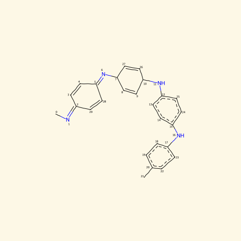 CN=C1C=CC(=NC2C=CC(Nc3ccc(Nc4ccc(C)cc4)cc3)C=C2)C=C1